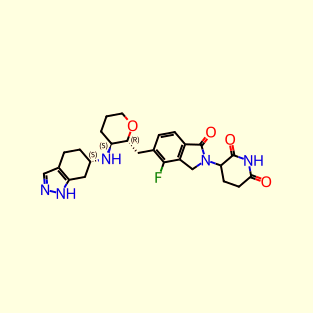 O=C1CCC(N2Cc3c(ccc(C[C@H]4OCCC[C@@H]4N[C@H]4CCc5cn[nH]c5C4)c3F)C2=O)C(=O)N1